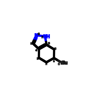 CC(C)(C)C1CCc2cn[nH]c2C1